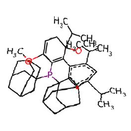 COC1=CCC(OC)(C(C)C)C(c2ccc(C(C)C)cc2C(C)C)=C1P(C12CC3CC(CC(C3)C1)C2)C12CC3CC(CC(C3)C1)C2